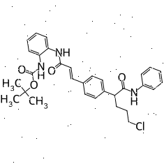 CC(C)(C)OC(=O)Nc1ccccc1NC(=O)/C=C/c1ccc(C(CCCCl)C(=O)Nc2ccccc2)cc1